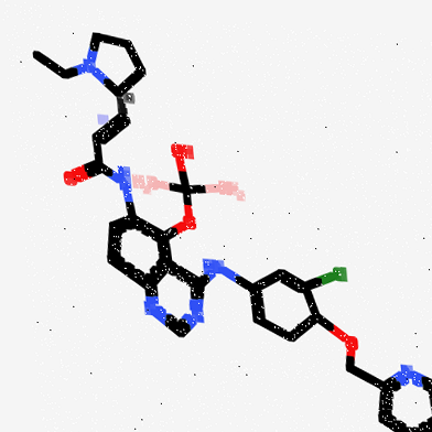 BC(B)(O)Oc1c(NC(=O)/C=C/[C@H]2CCCN2CC)ccc2ncnc(NC3=CCC(OCc4ccccn4)C(Cl)=C3)c12